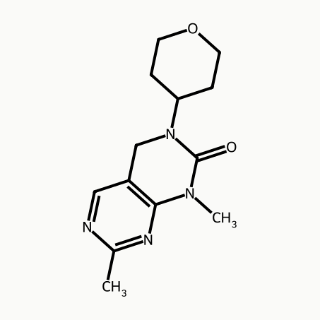 Cc1ncc2c(n1)N(C)C(=O)N(C1CCOCC1)C2